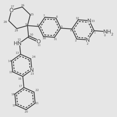 Nc1ncc(-c2ccc(C3(C(=O)Nc4ccc(-c5ccccc5)nc4)CCOCC3)cc2)cn1